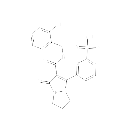 CS(=O)(=O)c1nccc(-c2c(C(=O)NCc3ccccc3Cl)c(=O)n3n2CCC3)n1